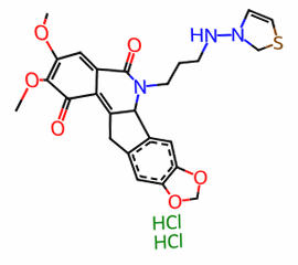 COC1=C(OC)C(=O)C2=C3Cc4cc5c(cc4C3N(CCCNN3C=CSC3)C(=O)C2=C1)OCO5.Cl.Cl